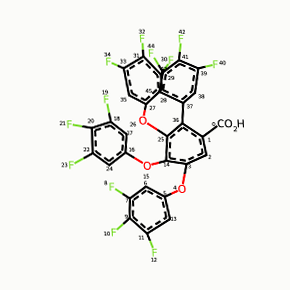 O=C(O)c1cc(Oc2cc(F)c(F)c(F)c2)c(Oc2cc(F)c(F)c(F)c2)c(Oc2cc(F)c(F)c(F)c2)c1-c1cc(F)c(F)c(F)c1